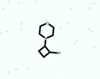 CC(C)C1CCC1N1CCOCC1